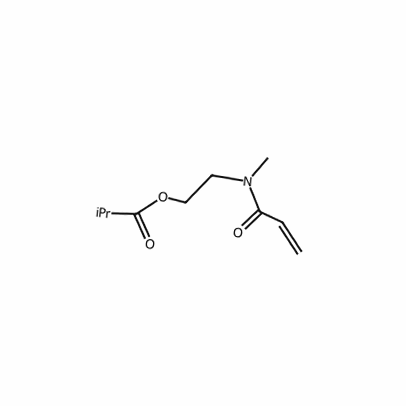 C=CC(=O)N(C)CCOC(=O)C(C)C